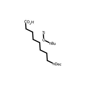 CCCCCCCCCCCCCCCCCC(=O)O.CCCC[O][Ti]